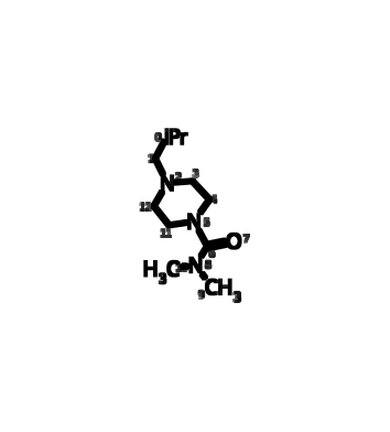 CC(C)CN1CCN(C(=O)N(C)C)CC1